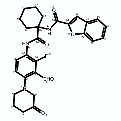 O=Cc1c(N2CCCC(=O)C2)ccc(NC(=O)C2(NC(=O)c3cc4ccccc4o3)CCCCC2)c1F